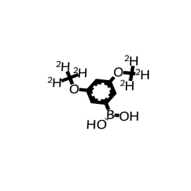 [2H]C([2H])([2H])Oc1cc(OC([2H])([2H])[2H])cc(B(O)O)c1